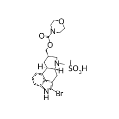 CN1C[C@H](COC(=O)N2CCOCC2)C[C@@H]2c3cccc4[nH]c(Br)c(c34)C[C@H]21.CS(=O)(=O)O